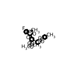 CNC(=O)c1c(-c2ccc(F)cc2)oc2cc(N(C)S(C)(=O)=O)c([C@@H]3CCCN(S(=O)(=O)c4ccc(C)cc4)C3)cc12